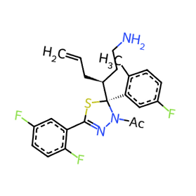 C=CC[C@@H](CCN)[C@]1(c2cc(F)ccc2C)SC(c2cc(F)ccc2F)=NN1C(C)=O